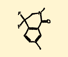 Cc1ccc2c(c1)C(=O)N(C)CC2(F)F